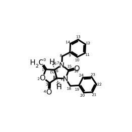 C=C1OC(=O)[C@H]2[C@@H]1N(Cc1ccccc1)C(=O)N2Cc1ccccc1